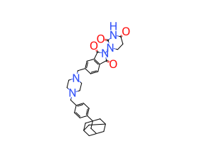 O=C1CCN(N2C(=O)c3ccc(CN4CCN(Cc5ccc(C67CC8CC(CC(C8)C6)C7)cc5)CC4)cc3C2=O)C(=O)N1